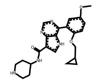 COc1ccc(OCC2CC2)c(-c2ncnc3c(C(=O)NC4CCNCC4)c[nH]c23)c1